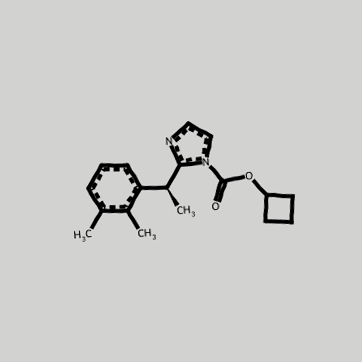 Cc1cccc([C@H](C)c2nccn2C(=O)OC2CCC2)c1C